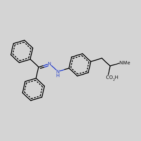 CNC(Cc1ccc(NN=C(c2ccccc2)c2ccccc2)cc1)C(=O)O